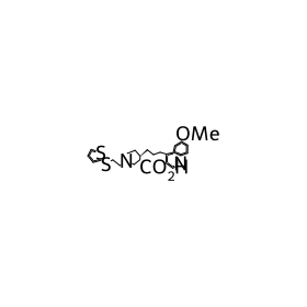 COc1ccc2nccc(CCC[C@@H]3CCN(CCSc4cccs4)C[C@@H]3C(=O)O)c2c1